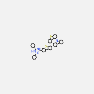 c1ccc(C2N=C(c3ccc4c(c3)sc3c(-c5ccc6sc7cccc(-n8c9ccccc9c9ccccc98)c7c6c5)cccc34)NC(c3ccccc3)N2)cc1